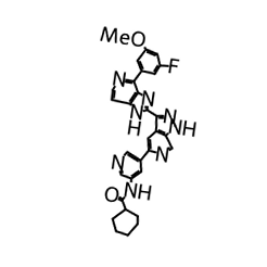 COc1cc(F)cc(-c2nccc3[nH]c(-c4n[nH]c5cnc(-c6cncc(NC(=O)C7CCCCC7)c6)cc45)nc23)c1